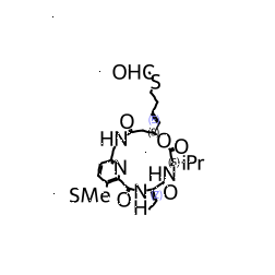 C/C=C1\NC(=O)c2nc(ccc2SC)CNC(=O)C[C@@H](/C=C/CCSC=O)OC(=O)[C@H](C(C)C)NC1=O